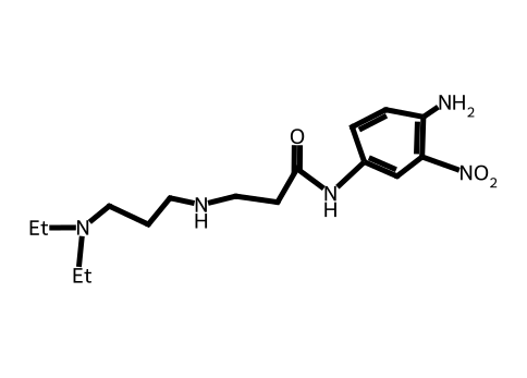 CCN(CC)CCCNCCC(=O)Nc1ccc(N)c([N+](=O)[O-])c1